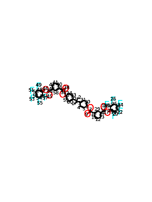 CC(C)(c1ccc(OC(=O)c2cccc(C(=O)Oc3c(F)c(F)c(F)c(F)c3F)c2)cc1)c1ccc(OC(=O)c2cccc(C(=O)Oc3c(F)c(F)c(F)c(F)c3F)c2)cc1